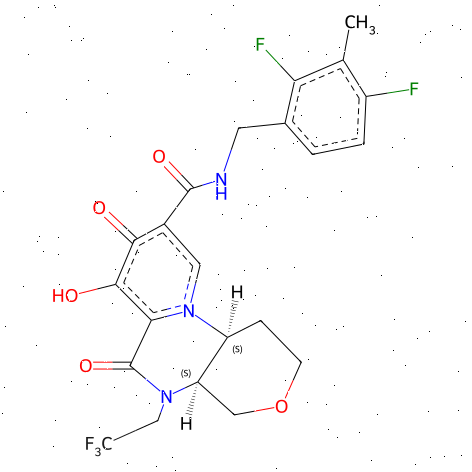 Cc1c(F)ccc(CNC(=O)c2cn3c(c(O)c2=O)C(=O)N(CC(F)(F)F)[C@@H]2COCC[C@@H]23)c1F